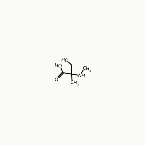 CNC(C)(CO)C(=O)O